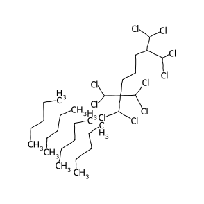 CCCCC.CCCCC.CCCCC.CCCCC.ClC(Cl)C(CCCC(C(Cl)Cl)(C(Cl)Cl)C(Cl)Cl)C(Cl)Cl